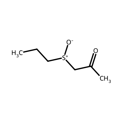 CCC[S+]([O-])CC(C)=O